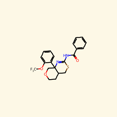 O=C(NC1=NC2(c3ccccc3OC(F)(F)F)COCCC2CS1)c1ccccc1